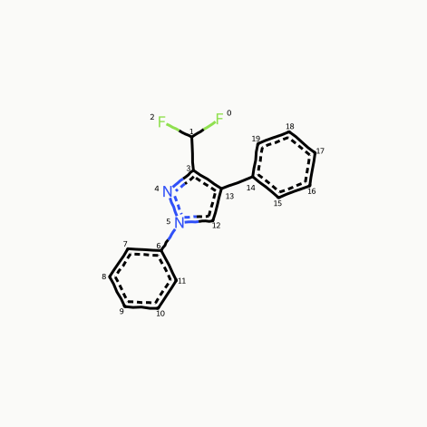 FC(F)c1nn(-c2ccccc2)cc1-c1ccccc1